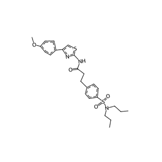 CCCN(CCC)S(=O)(=O)c1ccc(CCC(=O)Nc2nc(-c3ccc(OC)cc3)cs2)cc1